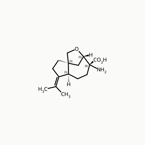 CC(C)=C1CC[C@]23CO[C@@H](C2)[C@@](N)(C(=O)O)CC[C@@H]13